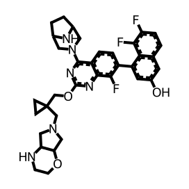 Oc1cc(-c2ccc3c(N4CC5CCC(C4)N5)nc(OCC4(CN5CC6NCCOC6C5)CC4)nc3c2F)c2c(F)c(F)ccc2c1